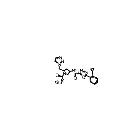 CC(C)(C)OC(=O)N1CC(NC(=O)c2nnc(-c3ccccc3C3CC3)o2)CC1Cn1ccnn1